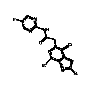 CCc1nn(CC(=O)Nc2ncc(F)cn2)c(=O)c2cn(CC)nc12